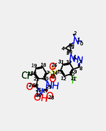 CN(C)[C@@H]1C[C@H]1n1ncc2c(F)cc(S(=O)(=O)c3ccc(Cl)c4c(=O)n(O)c(=O)[nH]c34)cc21